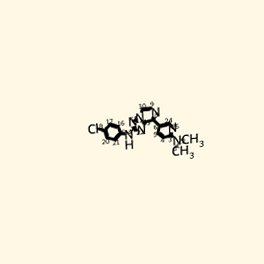 CN(C)c1ccc(-c2nccn3nc(Nc4ccc(Cl)cc4)nc23)cn1